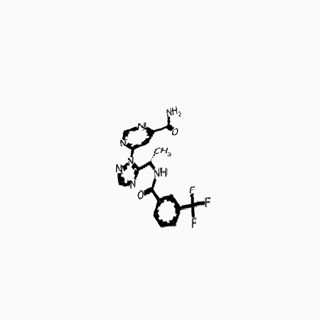 C[C@H](NC(=O)c1cccc(C(F)(F)F)c1)c1ncnn1-c1cc(C(N)=O)ncn1